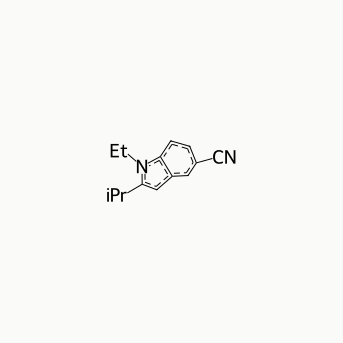 CCn1c(C(C)C)cc2cc(C#N)ccc21